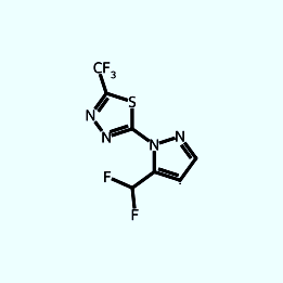 FC(F)c1[c]cnn1-c1nnc(C(F)(F)F)s1